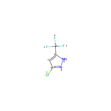 FC(F)(F)c1[c]c(Cl)n[nH]1